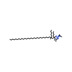 CCCCCCCCCCCCCCCCCCCCCCCCCCCC(C)(CCCCC)CC(CC)(CCCC)CN(CCC)C1CC1C